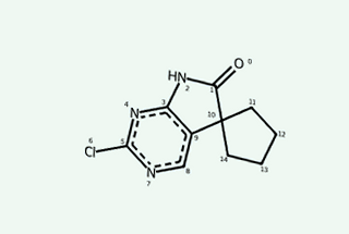 O=C1Nc2nc(Cl)ncc2C12CCCC2